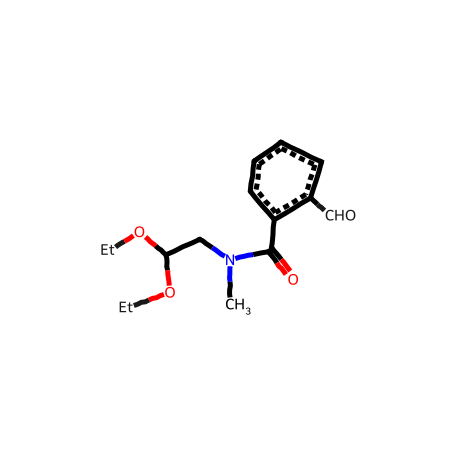 CCOC(CN(C)C(=O)c1ccccc1C=O)OCC